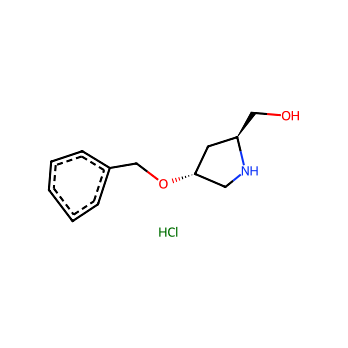 Cl.OC[C@@H]1C[C@@H](OCc2ccccc2)CN1